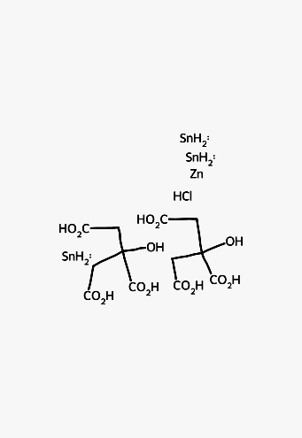 Cl.O=C(O)CC(O)(CC(=O)O)C(=O)O.O=C(O)CC(O)(CC(=O)O)C(=O)O.[SnH2].[SnH2].[SnH2].[Zn]